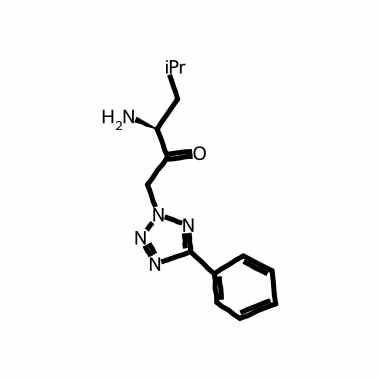 CC(C)C[C@H](N)C(=O)Cn1nnc(-c2ccccc2)n1